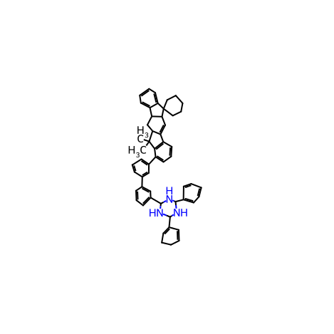 CC1(C)c2c(cccc2-c2cccc(-c3cccc(C4NC(C5=CCCC=C5)NC(c5ccccc5)N4)c3)c2)C2=CC3C(CC21)c1ccccc1C31CCCCC1